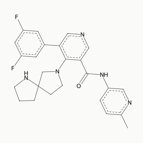 Cc1ccc(NC(=O)c2cncc(-c3cc(F)cc(F)c3)c2N2CCC3(CCCN3)C2)cn1